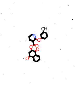 Cc1cccc(Oc2ncccc2C(=O)OC2=CC(=O)c3ccccc3C2=O)c1